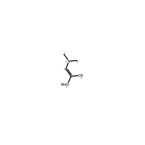 COC(C#N)=CN(C)C